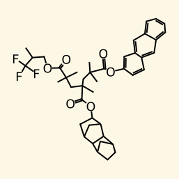 CC(COC(=O)C(C)(C)CC(C)(CC(C)(C)C(=O)Oc1ccc2cc3ccccc3cc2c1)C(=O)OC1CC2CC1C1C3CCC(C3)C21)C(F)(F)F